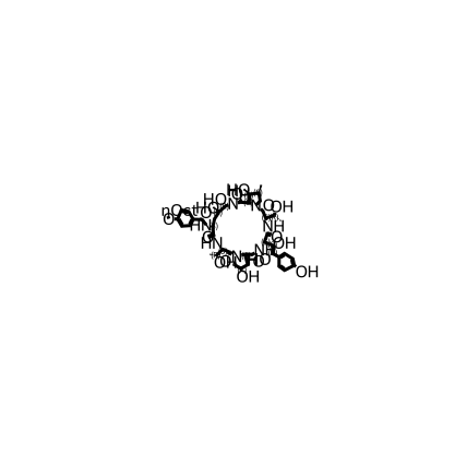 CCCCCCCCOc1ccc(C(=O)N[C@H]2C[C@@H](O)[C@@H](O)NC(=O)[C@@H]3[C@@H](O)[C@@H](C)CN3C(=O)[C@H]([C@@H](C)O)NC(=O)[C@H]([C@H](O)[C@@H](O)c3ccc(O)cc3)NC(=O)[C@@H]3C[C@@H](O)CN3C(=O)[C@H]([C@@H](C)O)NC2=O)cc1